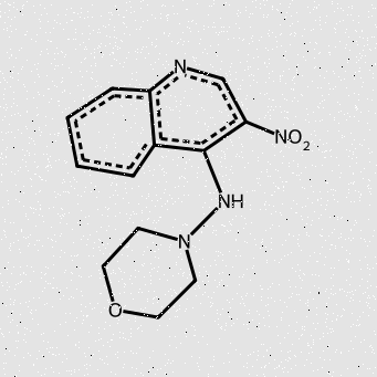 O=[N+]([O-])c1cnc2ccccc2c1NN1CCOCC1